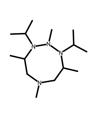 CC(C)N1C(C)CN(C)CC(C)N(C(C)C)N1C